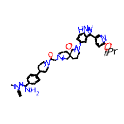 C#CN(C)/N=C(\N)c1ccc(C2=CCN(C(=O)CN3CCC4(CCCN(c5ccc6[nH]nc(-c7ccc(OC(C)C)nc7)c6c5)C4=O)C3)CC2)cc1